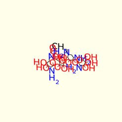 COO/C=N/CC1OC(OC2C(CO)OC(OC3C(O)C(N)CC(N)C3OC3OC(CO)C(O)C(O)C3N)C2O)C(N)C(O)C1O